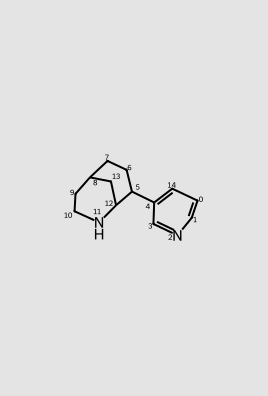 c1cncc(C2CCC3CCNC2C3)c1